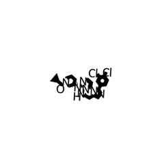 N#CCc1cnc(-c2ccc(Cl)c(Cl)c2)n1-c1ccnc(N[C@H]2CCCN(C(=O)C3CC3)C2)n1